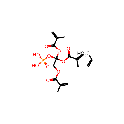 C=C(C)C(=O)OCC(OC(=O)C(=C)C)(OC(=O)C(=C)C)OP(=O)(O)O.C=CC(=O)O